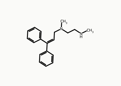 CNCCN(C)CC=C(c1ccccc1)c1ccccc1